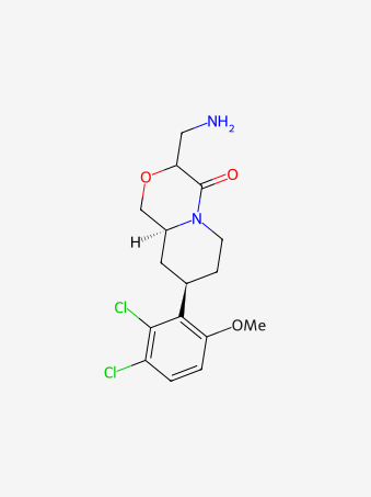 COc1ccc(Cl)c(Cl)c1[C@@H]1CCN2C(=O)C(CN)OC[C@@H]2C1